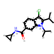 CC(C)c1c(Cl)c2ccc(C(=O)NC3CC3)cc2n1C(C)C